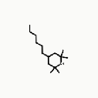 CCCCCCC1CC(C)(C)NC(C)(C)C1